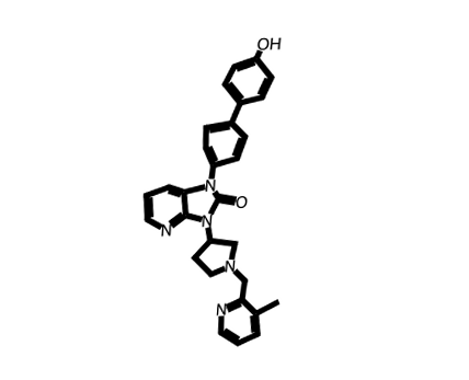 Cc1cccnc1CN1CCC(n2c(=O)n(-c3ccc(-c4ccc(O)cc4)cc3)c3cccnc32)C1